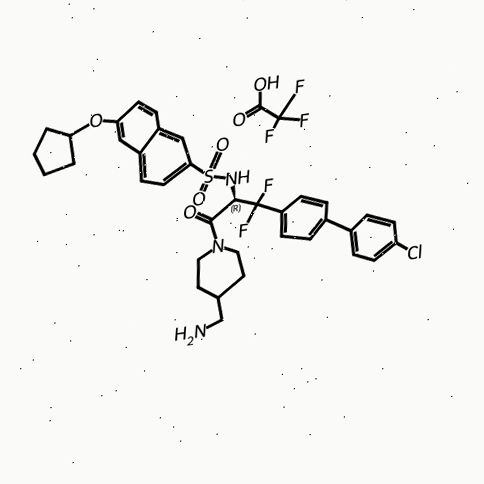 NCC1CCN(C(=O)[C@@H](NS(=O)(=O)c2ccc3cc(OC4CCCC4)ccc3c2)C(F)(F)c2ccc(-c3ccc(Cl)cc3)cc2)CC1.O=C(O)C(F)(F)F